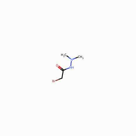 CN(C)NC(=O)CBr